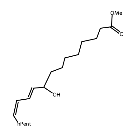 CCCCC/C=C\C=C\C(O)CCCCCCCC(=O)OC